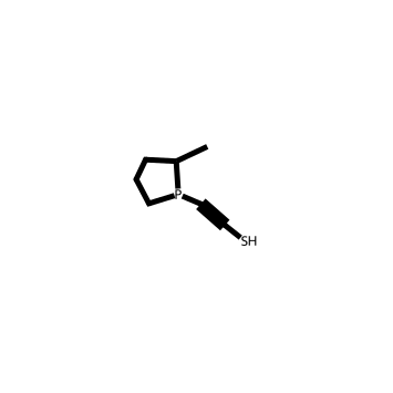 CC1CCCP1C#CS